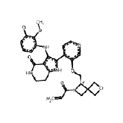 C=CC(=O)N1CC2(COC2)[C@@H]1COc1cnccc1-c1[nH]c2c(c1Nc1cccc(Cl)c1OC)C(=O)NCC2